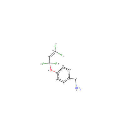 NCc1ccc(OC(F)(F)C=C(F)F)cc1